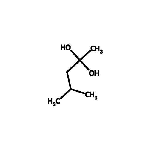 CC(C)CC(C)(O)O